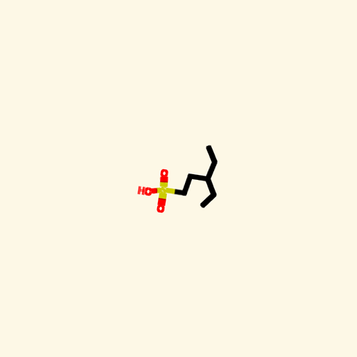 CCC(CC)CCS(=O)(=O)O